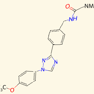 CNC(=O)NCc1ccc(-c2ncn(-c3ccc(OC(F)(F)F)cc3)n2)cc1